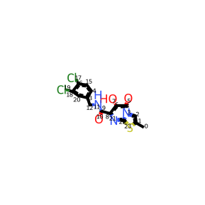 Cc1cn2c(=O)c(O)c(C(=O)NCc3ccc(Cl)c(Cl)c3)nc2s1